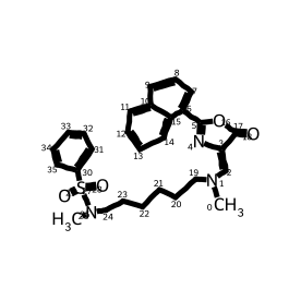 CN(C=C1N=C(c2cccc3ccccc23)OC1=O)CCCCCCN(C)S(=O)(=O)c1ccccc1